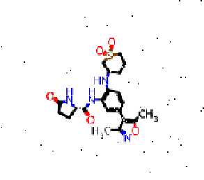 Cc1noc(C)c1-c1ccc(NC2CCCS(=O)(=O)C2)c(NC(=O)[C@@H]2CCC(=O)N2)c1